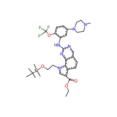 CCOC(=O)c1cn(CCO[Si](C)(C)C(C)(C)C)c2c1ccc1cnc(Nc3cc(N4CCN(C)CC4)ccc3OC(F)(F)F)nc12